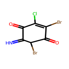 N=C1C(=O)C(Cl)=C(Br)C(=O)C1Br